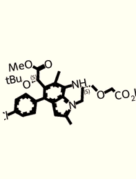 COC(=O)[C@@H](OC(C)(C)C)c1c(C)c2c3c(cc(C)n3C[C@@H](COCC(=O)O)N2)c1-c1ccc(Cl)cc1